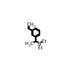 C=Cc1cccc(C(C)N(CC)CC)c1